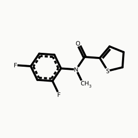 CN(C(=O)C1=CCCS1)c1ccc(F)cc1F